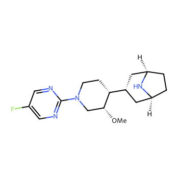 CO[C@@H]1CN(c2ncc(F)cn2)CC[C@@H]1[C@@H]1C[C@H]2CC[C@@H](C1)N2